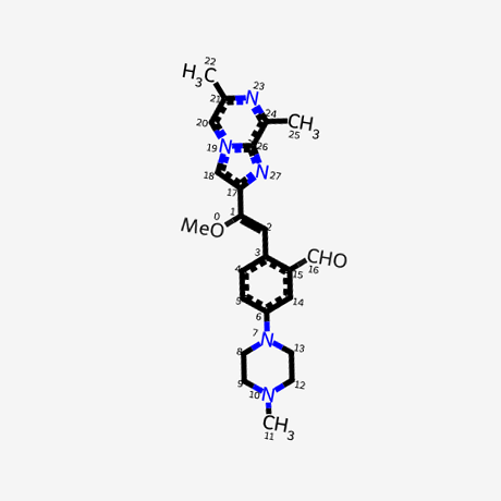 CO/C(=C\c1ccc(N2CCN(C)CC2)cc1C=O)c1cn2cc(C)nc(C)c2n1